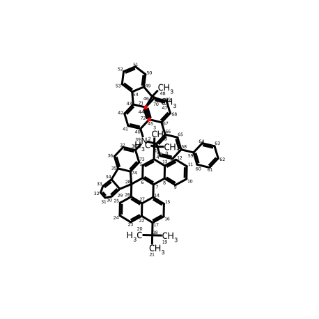 CC(C)(C)c1cc2c(c3ccccc13)-c1ccc(C(C)(C)C)c3cccc(c13)C21c2ccccc2-c2ccc(N(c3ccc4c(c3)C(C)(C)c3ccccc3-4)c3ccc(-c4ccccc4)cc3-c3ccccc3)cc21